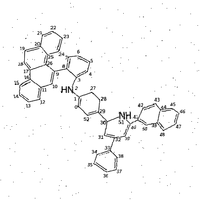 C1=C(Nc2ccccc2-c2cc3ccccc3c3ccc4ccccc4c23)CCC(C2C=C(c3ccccc3)C=C(c3ccc4ccccc4c3)N2)=C1